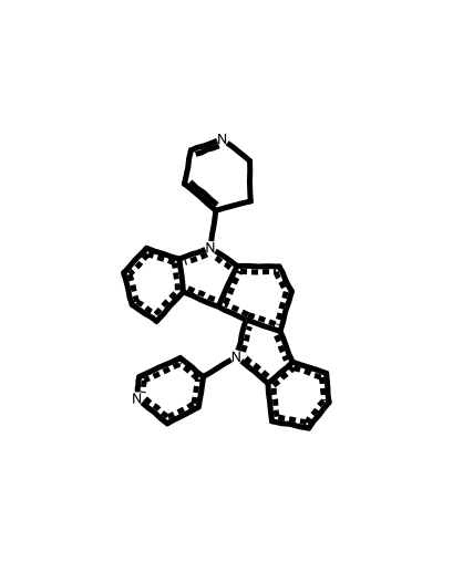 C1=NCCC(n2c3ccccc3c3c2ccc2c4ccccc4n(-c4ccncc4)c23)=C1